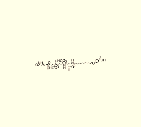 N[C@H](C=O)CCCCNC(=O)CC[C@H](NC(=O)CCC(NC(=O)CC[C@H](NC(=O)CCCCCCCCCCCOc1ccc(C(=O)O)cc1)C(=O)O)C(=O)O)C(=O)O